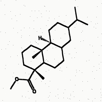 COC(=O)[C@]1(C)CCC[C@@]2(C)C1CCC1CC(C(C)C)CC[C@@H]12